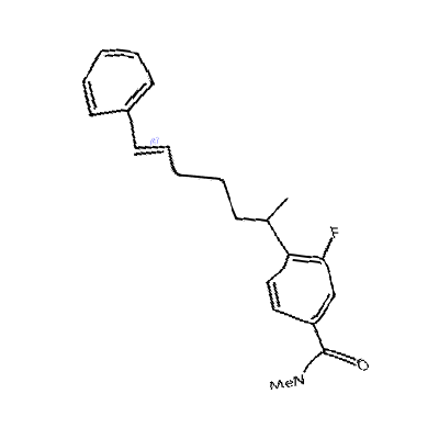 CNC(=O)c1ccc(C(C)CCC/C=C/c2ccccc2)c(F)c1